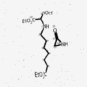 CCCCCCCCC(NCCCCCCC(=O)OCC)C(=O)OCC.O=C1CN1